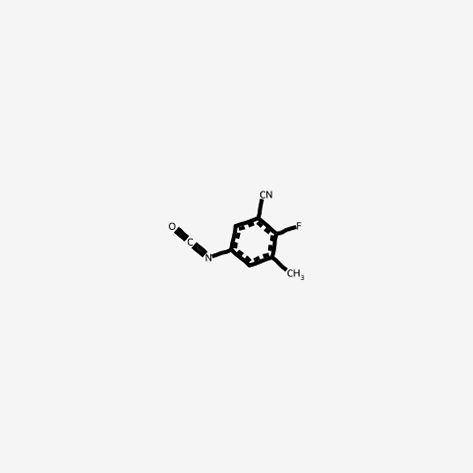 Cc1cc(N=C=O)cc(C#N)c1F